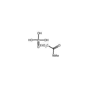 CCOC(=O)C(=O)NC.O=P(O)(O)O